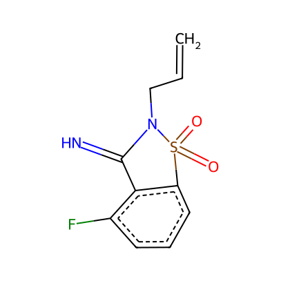 C=CCN1C(=N)c2c(F)cccc2S1(=O)=O